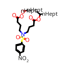 CCCCCCCOOC(=O)CCCN(CCCC(=O)OC(CCCCCCC)CCCCCCC)S(=O)(=O)c1ccc([N+](=O)[O-])cc1